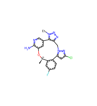 CCn1nnc2c1-c1cnc(N)c(c1)O[C@H](C)c1cc(F)ccc1-c1cc(Cl)nn1C2